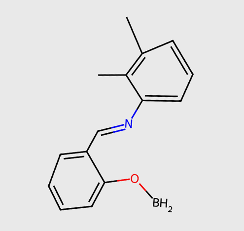 BOc1ccccc1/C=N/c1cccc(C)c1C